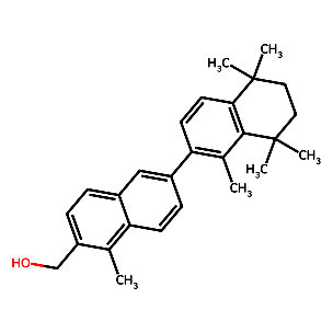 Cc1c(-c2ccc3c(C)c(CO)ccc3c2)ccc2c1C(C)(C)CCC2(C)C